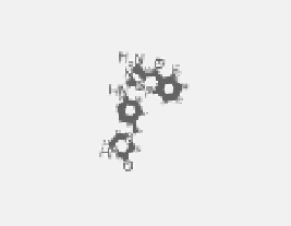 Nc1nc(Nc2ccc(CN3CCNC(=O)C3)cc2)sc1C(=O)c1c(F)cccc1F